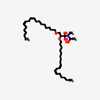 CCCCC/C=C\C/C=C\CCCCCCCCOCC(OCCCCCCCC/C=C\C/C=C\CCCCC)C(O)(O)N(C)C(C)O